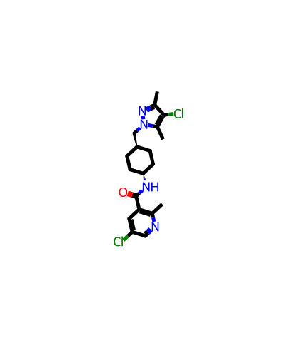 Cc1ncc(Cl)cc1C(=O)N[C@H]1CC[C@H](Cn2nc(C)c(Cl)c2C)CC1